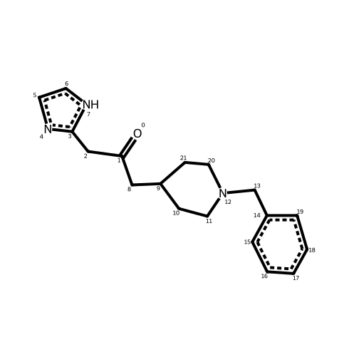 O=C(Cc1ncc[nH]1)CC1CCN(Cc2ccccc2)CC1